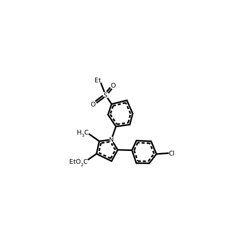 CCOC(=O)c1cc(-c2ccc(Cl)cc2)n(-c2cccc(S(=O)(=O)CC)c2)c1C